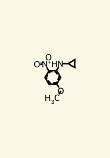 COc1ccc([N+](=O)[O-])c(NC2CC2)c1